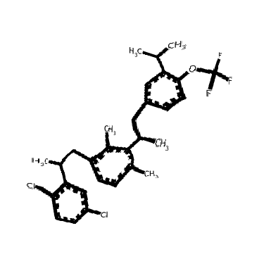 Cc1ccc(CC(C)c2cc(Cl)ccc2Cl)c(C)c1C(C)Cc1ccc(OC(F)(F)F)c(C(C)C)c1